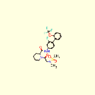 CN(CC(=O)N1CCCCC1C(=O)Nc1ccc(-c2ccccc2OC(F)(F)F)c(F)c1)S(C)(=O)=O